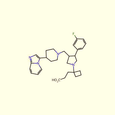 O=C(O)CCC1(N2CC(CN3CCC(c4cnc5ccccn45)CC3)C(c3cccc(F)c3)C2)CCC1